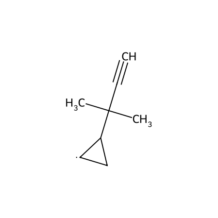 C#CC(C)(C)C1[CH]C1